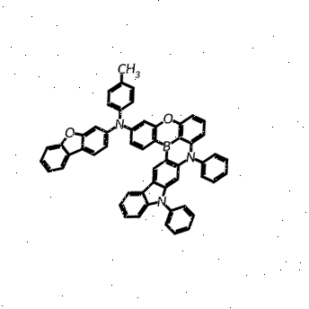 Cc1ccc(N(c2ccc3c(c2)Oc2cccc4c2B3c2cc3c5ccccc5n(-c5ccccc5)c3cc2N4c2ccccc2)c2ccc3c(c2)oc2ccccc23)cc1